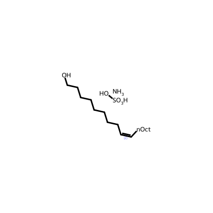 CCCCCCCC/C=C\CCCCCCCCO.N.O=S(=O)(O)O